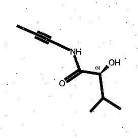 CC#CNC(=O)[C@@H](O)C(C)C